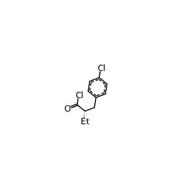 CC[C@@H](Cc1ccc(Cl)cc1)C(=O)Cl